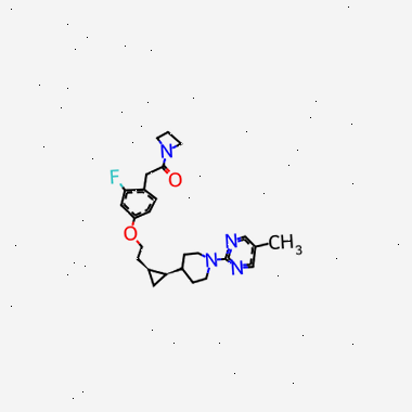 Cc1cnc(N2CCC([C@H]3C[C@H]3CCOc3ccc(CC(=O)N4CCC4)c(F)c3)CC2)nc1